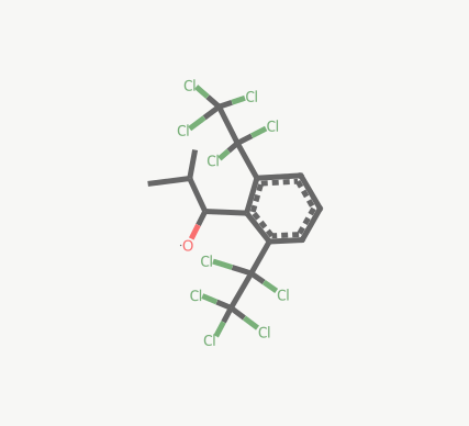 CC(C)C([O])c1c(C(Cl)(Cl)C(Cl)(Cl)Cl)cccc1C(Cl)(Cl)C(Cl)(Cl)Cl